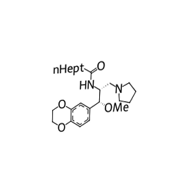 CCCCCCCC(=O)N[C@H](CN1CCCC1)[C@H](OC)c1ccc2c(c1)OCCO2